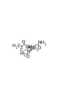 C=C(C)C(=O)O.C=CC(N)=O.C=CN1CCCC1=O